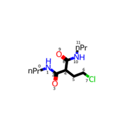 CCCNC(=O)C(CCCl)C(=O)NCCC